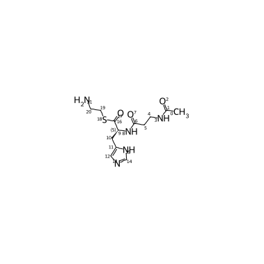 CC(=O)NCCC(=O)N[C@@H](Cc1cnc[nH]1)C(=O)SCCN